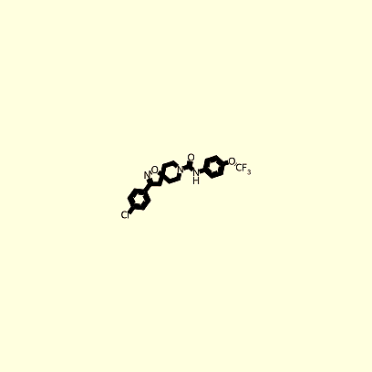 O=C(Nc1ccc(OC(F)(F)F)cc1)N1CCC2(CC1)CC(c1ccc(Cl)cc1)=NO2